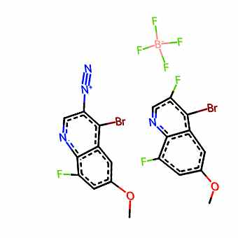 COc1cc(F)c2ncc(F)c(Br)c2c1.COc1cc(F)c2ncc([N+]#N)c(Br)c2c1.F[B-](F)(F)F